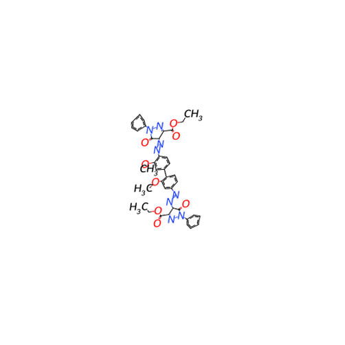 CCOC(=O)C1=NN(c2ccccc2)C(=O)C1N=Nc1ccc(-c2ccc(N=NC3C(=O)N(c4ccccc4)N=C3C(=O)OCC)c(OC)c2)c(OC)c1